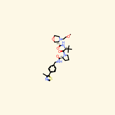 COCCN1CCOC[C@H]1C(=O)N[C@H](C(=O)N1CCC[C@H]1C(=O)NCc1ccc(-c2scnc2C)cc1)C(C)(C)C